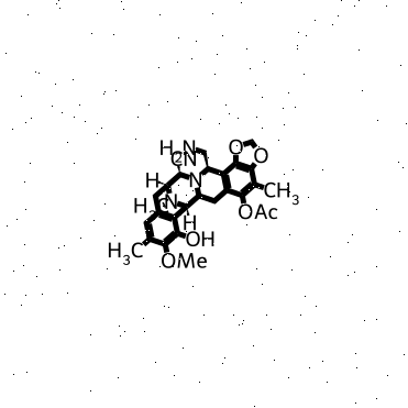 COc1c(C)cc2c(c1O)[C@@H]1C3Cc4c(OC(C)=O)c(C)c5c(c4[C@H](CN)N3[C@@H](C#N)[C@H](C2)N1C)OCO5